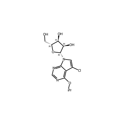 CC(C)Oc1ncnc2c1c(Cl)cn2[C@@H]1O[C@H](CO)[C@@H](O)[C@H]1O